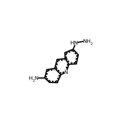 NNc1ccc2nc3ccc(N)cc3cc2c1